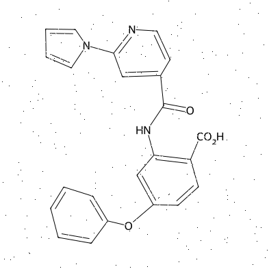 O=C(Nc1cc(Oc2ccccc2)ccc1C(=O)O)c1ccnc(-n2cccc2)c1